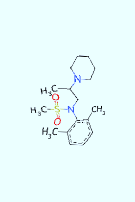 Cc1cccc(C)c1N(CC(C)N1CCCCC1)S(C)(=O)=O